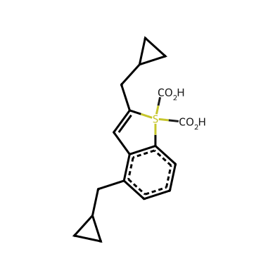 O=C(O)S1(C(=O)O)C(CC2CC2)=Cc2c(CC3CC3)cccc21